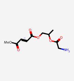 COC(=O)/C=C/C(=O)OCC(C)OC(=O)CN